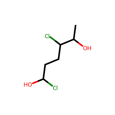 CC(O)C(Cl)CCC(O)Cl